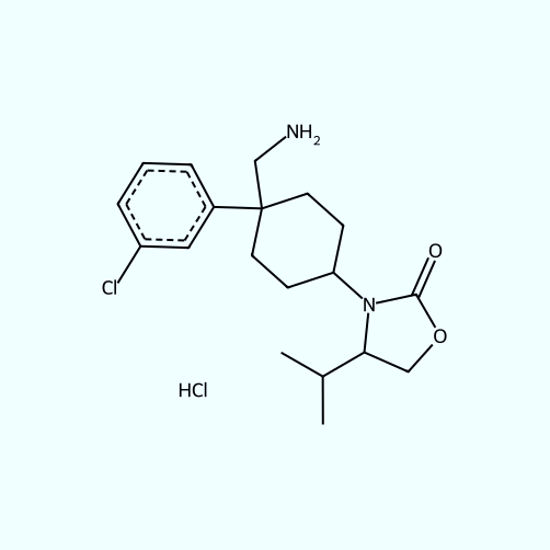 CC(C)C1COC(=O)N1C1CCC(CN)(c2cccc(Cl)c2)CC1.Cl